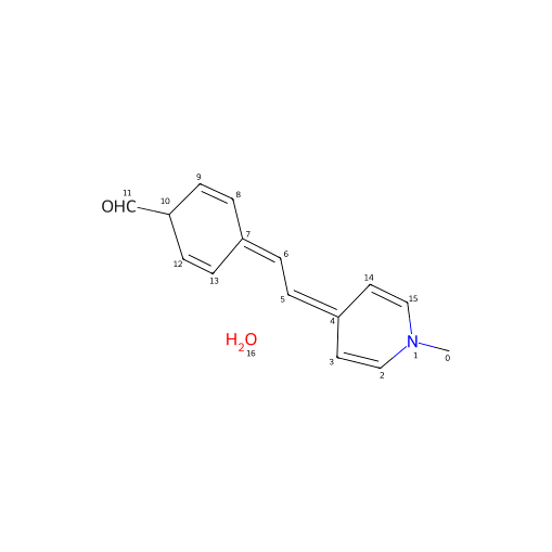 CN1C=CC(=CC=C2C=CC(C=O)C=C2)C=C1.O